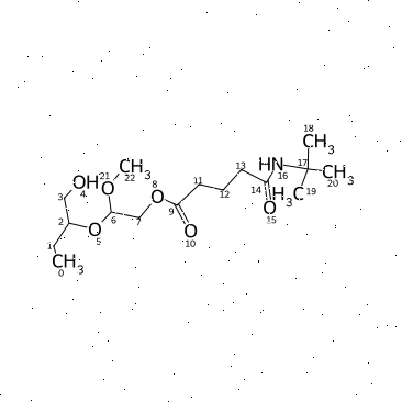 CCC(CO)OC(COC(=O)CCCC(=O)NC(C)(C)C)OC